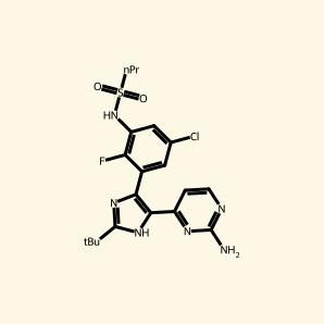 CCCS(=O)(=O)Nc1cc(Cl)cc(-c2nc(C(C)(C)C)[nH]c2-c2ccnc(N)n2)c1F